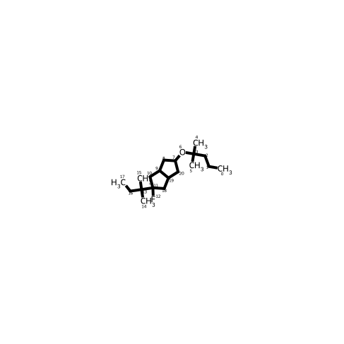 CCCC(C)(C)OC1CC2CC(F)(C(C)(C)CC)CC2C1